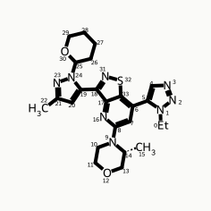 CCn1nncc1-c1cc(N2CCOC[C@H]2C)nc2c(-c3cc(C)nn3C3CCCCO3)nsc12